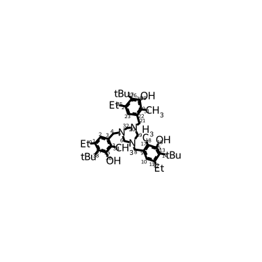 CCc1cc(CN2CN(Cc3cc(CC)c(C(C)(C)C)c(O)c3C)CN(Cc3cc(CC)c(C(C)(C)C)c(O)c3C)C2)c(C)c(O)c1C(C)(C)C